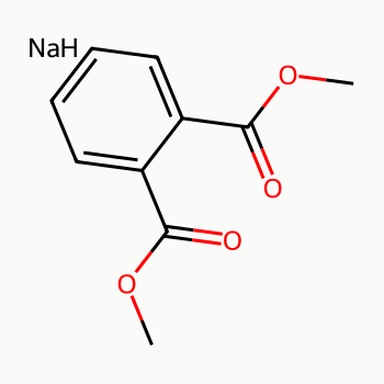 COC(=O)c1ccccc1C(=O)OC.[NaH]